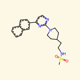 CS(=O)(=O)NCCC1CCN(c2nccc(-c3ccc4ccccc4c3)n2)CC1